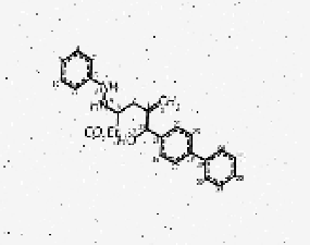 C=C(CC(NNc1ccccc1)C(=O)OCC)C(O)c1ccc(-c2ccccc2)cc1